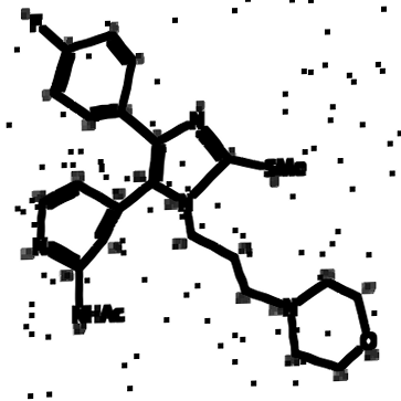 CSc1nc(-c2ccc(F)cc2)c(-c2ccnc(NC(C)=O)c2)n1CCCN1CCOCC1